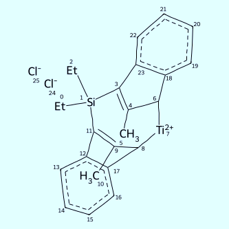 CC[Si]1(CC)C2=C(C)[CH]([Ti+2][CH]3C(C)=C1c1ccccc13)c1ccccc12.[Cl-].[Cl-]